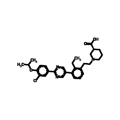 CCc1c(CCN2CCC[C@H](C(=O)O)C2)cccc1-c1cnc(-c2ccc(OC(C)C)c(Cl)c2)nc1